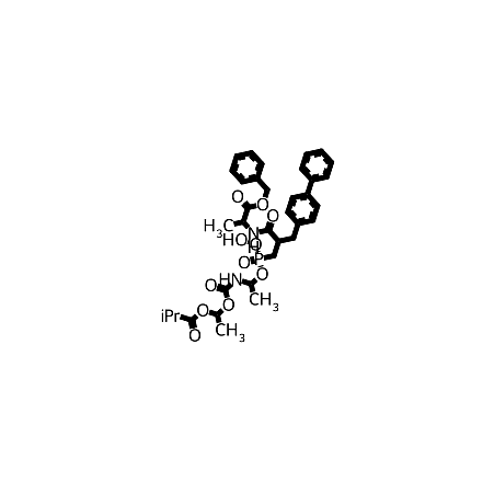 CC(NC(=O)OC(C)OC(=O)C(C)C)OP(=O)(CC(Cc1ccc(-c2ccccc2)cc1)C(=O)NC(C)C(=O)OCc1ccccc1)OO